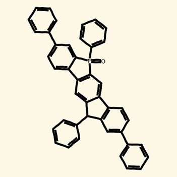 O=P1(c2ccccc2)c2cc(-c3ccccc3)ccc2-c2cc3c(cc21)-c1ccc(-c2ccccc2)cc1C3c1ccccc1